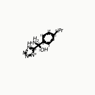 CC(C)c1ccc(C(N)(O)c2nnn[nH]2)cc1